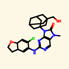 Cn1c(=O)n(C23CC4CC(CC(CO)(C4)C2)C3)c2nc(NC3=CC4CCOC4C=C3Cl)ncc21